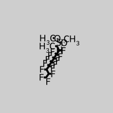 CO[SiH](OC)C(C)C(F)C(F)(F)C(F)(F)C(F)(F)C(F)(F)C(F)C(F)C(F)F